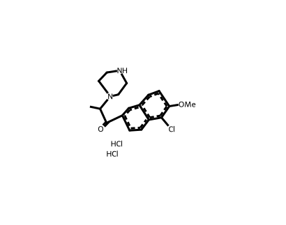 COc1ccc2cc(C(=O)C(C)N3CCNCC3)ccc2c1Cl.Cl.Cl